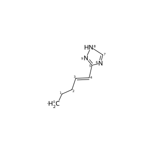 [CH2]CCC=Cc1nc[nH]n1